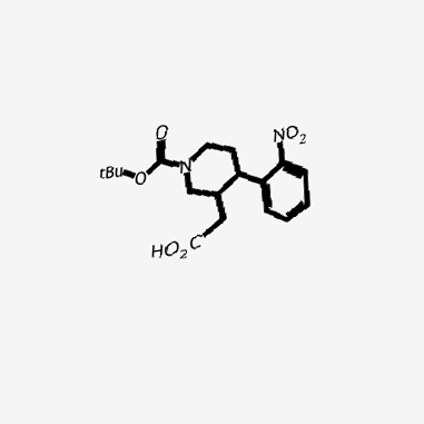 CC(C)(C)OC(=O)N1CCC(c2ccccc2[N+](=O)[O-])C(CC(=O)O)C1